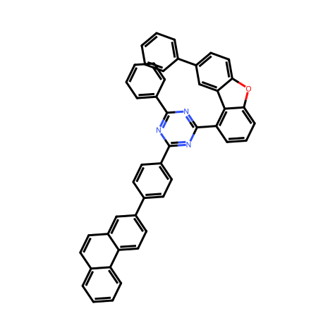 c1ccc(-c2ccc3oc4cccc(-c5nc(-c6ccccc6)nc(-c6ccc(-c7ccc8c(ccc9ccccc98)c7)cc6)n5)c4c3c2)cc1